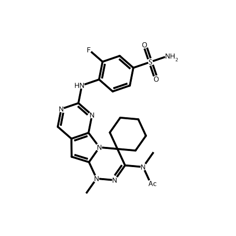 CC(=O)N(C)C1=NN(C)c2cc3cnc(Nc4ccc(S(N)(=O)=O)cc4F)nc3n2C12CCCCC2